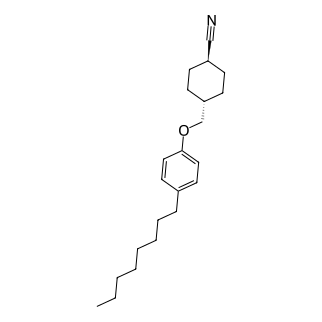 CCCCCCCCc1ccc(OC[C@H]2CC[C@H](C#N)CC2)cc1